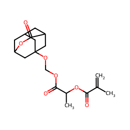 C=C(C)C(=O)OC(C)C(=O)OCOC12CC3CC(C1)OC(=O)C(C3)C2